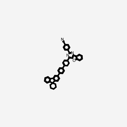 N#Cc1ccc(-c2nc(C3=CC=C(c4ccc(-c5ccc6c(c5)-c5ccccc5C65CCCCC5)cc4)CC3)c3oc4ccccc4c3n2)cc1